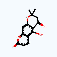 CC1(C)CC(=O)c2c(cc3oc(=O)ccc3c2O)O1